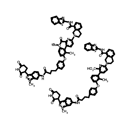 Cc1c(Oc2ccc(CCCC(=O)Nc3ccc4c(C5CCC(=O)NC5=O)nn(C)c4c3)cc2)cccc1-c1ccc(N2CCc3cccc(C(=O)Nc4nc5ccccc5s4)c3C2)nc1C(=O)O.Cc1c(Oc2ccc(CCCC(=O)Nc3ccc4c(C5CCC(=O)NC5=O)nn(C)c4c3)cc2)cccc1-c1ccc(N2CCc3cccc(C(=O)Nc4nc5ccccc5s4)c3C2)nc1C(=O)OC(C)(C)C